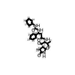 CC(C)[C@H](NC(=O)CC(NC(=O)Nc1ccccc1)c1ccccc1)C(=O)[C@@H]1C(=O)NC(=O)[C@H]1C